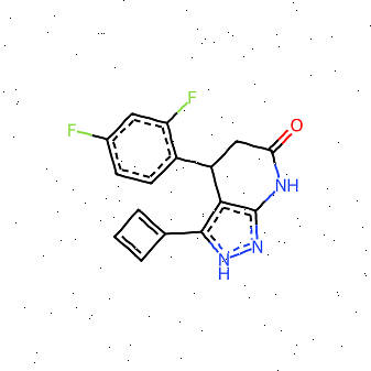 O=C1CC(c2ccc(F)cc2F)c2c(n[nH]c2C2=CC=C2)N1